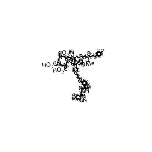 COC(=O)C[C@H](NC(=O)[C@H](CCOCCNC(=O)CCCc1ccc(C)cc1)NC(=O)CN1CCN(CC(=O)O)CCN(CC(=O)O)CCN(CC(=O)O)CC1)C(=O)N1CCN(CCCCOc2ccc3nccc(C(=O)NCC(=O)N4CC(F)(F)C[C@@H]4C#N)c3c2)CC1